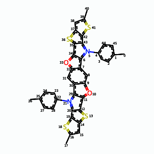 Cc1ccc(-n2c3c4cc5oc6c7sc8cc(C)sc8c7n(-c7ccc(C)cc7)c6c5cc4oc3c3sc4cc(C)sc4c32)cc1